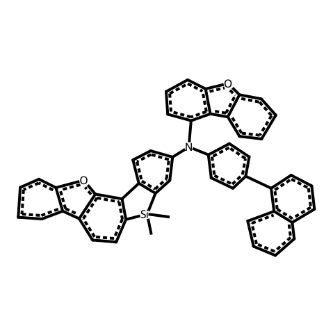 C[Si]1(C)c2cc(N(c3ccc(-c4cccc5ccccc45)cc3)c3cccc4oc5ccccc5c34)ccc2-c2c1ccc1c2oc2ccccc21